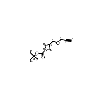 C#CCOCC1CN(C(=O)OC(C)(C)C)C1